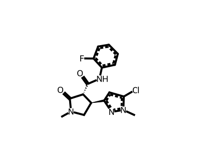 CN1C[C@H](c2cc(Cl)n(C)n2)[C@@H](C(=O)Nc2ccccc2F)C1=O